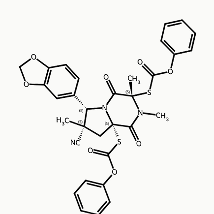 CN1C(=O)[C@@]2(SC(=O)Oc3ccccc3)C[C@](C)(C#N)[C@H](c3ccc4c(c3)OCO4)N2C(=O)[C@]1(C)SC(=O)Oc1ccccc1